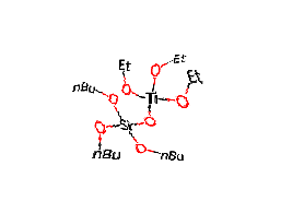 CCCCO[Si](OCCCC)(OCCCC)[O][Ti]([O]CC)([O]CC)[O]CC